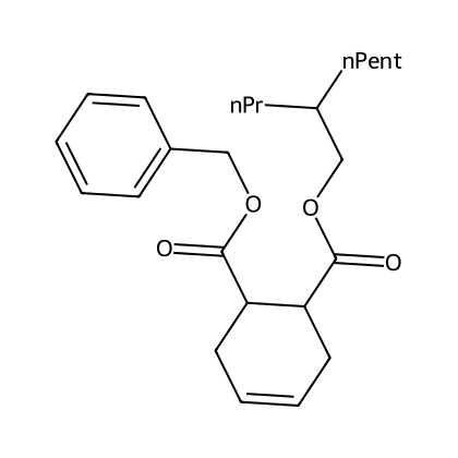 CCCCCC(CCC)COC(=O)C1CC=CCC1C(=O)OCc1ccccc1